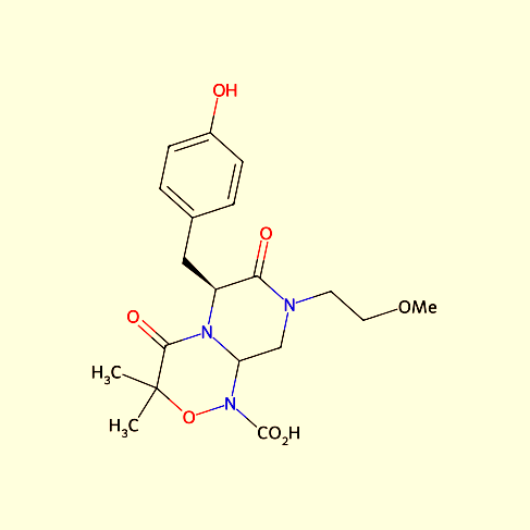 COCCN1CC2N(C(=O)O)OC(C)(C)C(=O)N2[C@@H](Cc2ccc(O)cc2)C1=O